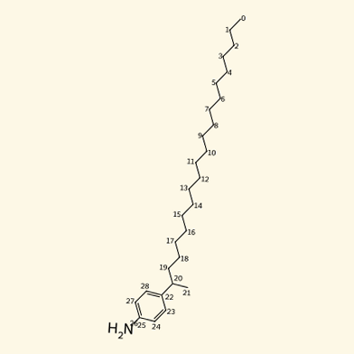 CCCCCCCCCCCCCCCCCCCCC(C)c1ccc(N)cc1